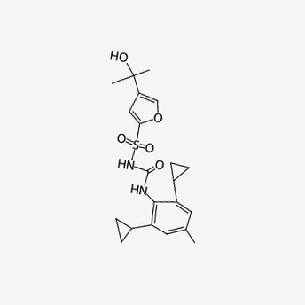 Cc1cc(C2CC2)c(NC(=O)NS(=O)(=O)c2cc(C(C)(C)O)co2)c(C2CC2)c1